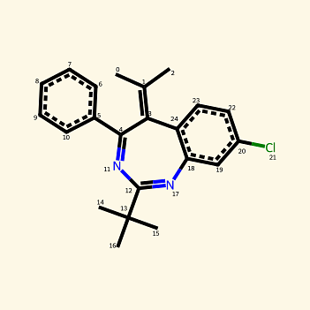 CC(C)=C1C(c2ccccc2)=NC(C(C)(C)C)=Nc2cc(Cl)ccc21